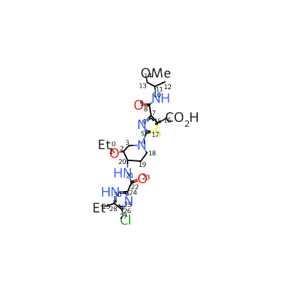 CCOC1CN(c2nc(C(=O)NC(C)COC)c(C(=O)O)s2)CCC1NC(=O)c1nc(Cl)c(CC)[nH]1